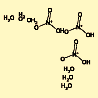 O.O.O.O.O.O.O=[N+]([O-])O.O=[N+]([O-])O.O=[N+]([O-])O